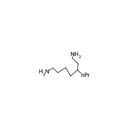 [CH2]CCC(CCN)CCCCN